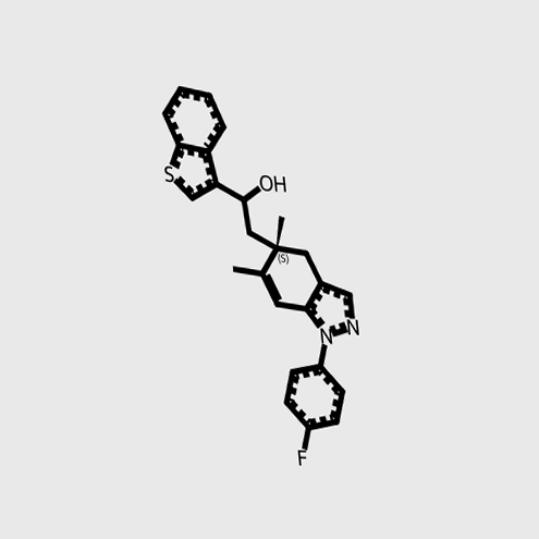 CC1=Cc2c(cnn2-c2ccc(F)cc2)C[C@@]1(C)CC(O)c1csc2ccccc12